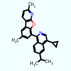 Cc1cc(-c2ncc(C3CC3)c3cc(C(C)C)ccc23)c2oc3nc(C)ccc3c2c1